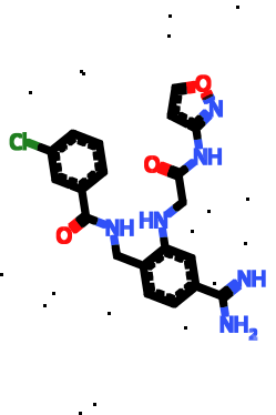 N=C(N)c1ccc(CNC(=O)c2cccc(Cl)c2)c(NCC(=O)Nc2ccon2)c1